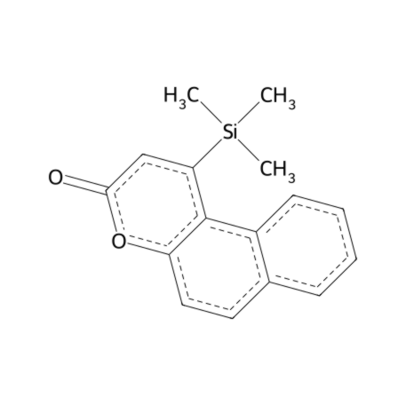 C[Si](C)(C)c1cc(=O)oc2ccc3ccccc3c12